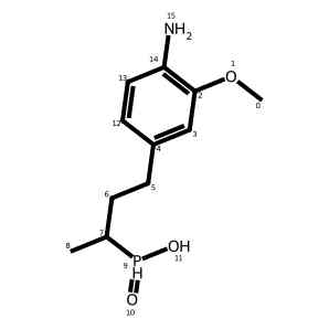 COc1cc(CCC(C)[PH](=O)O)ccc1N